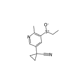 CC[S+]([O-])c1cc(C2(C#N)CC2)cnc1C